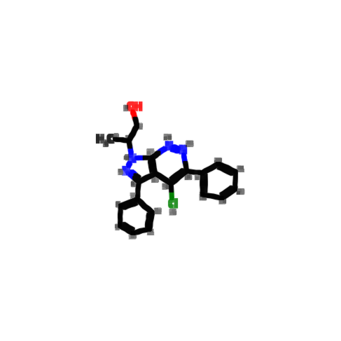 CC(CO)n1nc(-c2ccccc2)c2c(Cl)c(-c3ccccc3)nnc21